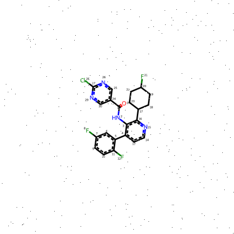 O=C(Nc1c(-c2cc(F)ccc2F)ccnc1C1CCC(F)CC1)c1cnc(Cl)nc1